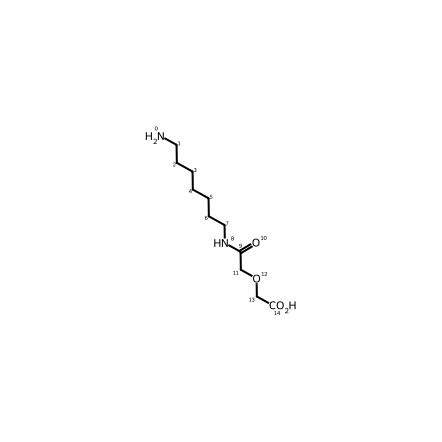 NCCCCCCCNC(=O)COCC(=O)O